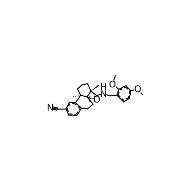 COc1ccc(CNC(=O)[C@@]2(C)CCC[C@]3(C)c4cc(C#N)ccc4CC[C@@H]23)c(OC)c1